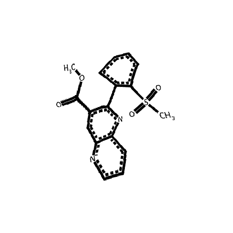 COC(=O)c1cc2ncccc2nc1-c1ccccc1S(C)(=O)=O